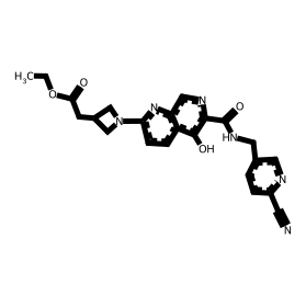 CCOC(=O)CC1CN(c2ccc3c(O)c(C(=O)NCc4ccc(C#N)nc4)ncc3n2)C1